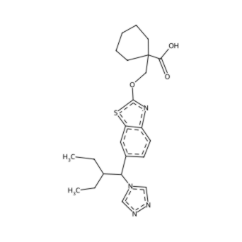 CCC(CC)C(c1ccc2nc(OCC3(C(=O)O)CCCCC3)sc2c1)n1cnnc1